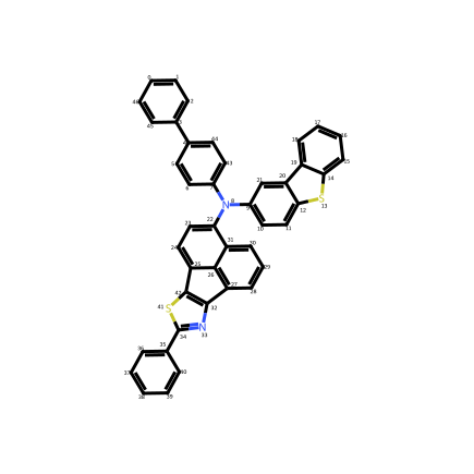 c1ccc(-c2ccc(N(c3ccc4sc5ccccc5c4c3)c3ccc4c5c(cccc35)-c3nc(-c5ccccc5)sc3-4)cc2)cc1